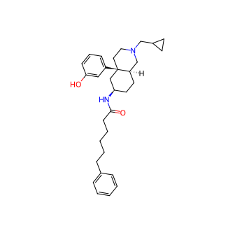 O=C(CCCCCc1ccccc1)N[C@@H]1CC[C@@H]2CN(CC3CC3)CC[C@@]2(c2cccc(O)c2)C1